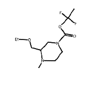 CCOCC1CN(C(=O)OC(C)(F)F)CCN1C